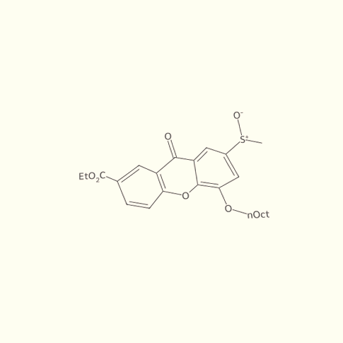 CCCCCCCCOc1cc([S+](C)[O-])cc2c(=O)c3cc(C(=O)OCC)ccc3oc12